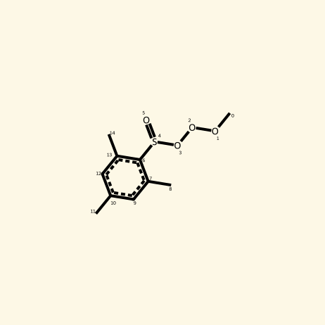 COOOS(=O)c1c(C)cc(C)cc1C